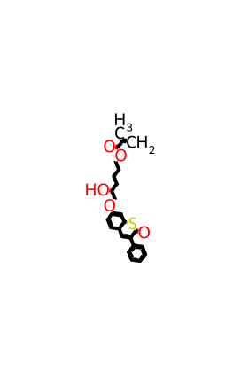 C=C(C)C(=O)OCCCCC(O)COC1=CC2SC(=O)C(c3ccccc3)=CC2C=C1